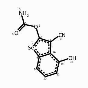 N#Cc1c(OC(N)=O)[se]c2cccc(O)c12